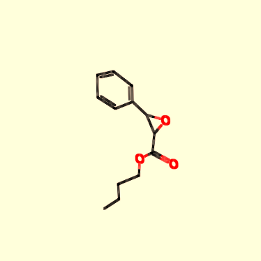 CCCCOC(=O)C1OC1c1ccccc1